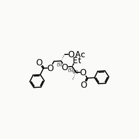 CC[C@H](O[C@@H](COC(C)=O)COC(=O)c1ccccc1)[C@@H](C)OC(=O)c1ccccc1